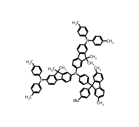 Cc1ccc(N(c2ccc(C)cc2)c2ccc3c(c2)C(C)(C)c2cc(N(c4ccc(C5(c6ccc(C(C)(C)C)cc6)c6cc(C)ccc6-c6ccc(C)cc65)cc4)c4ccc5c(c4)C(C)(C)c4cc(N(c6ccc(C)cc6)c6ccc(C)cc6)ccc4-5)ccc2-3)cc1